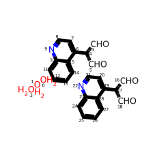 O.O.O.O=CC(C=O)c1ccnc2ccccc12.O=CC(C=O)c1ccnc2ccccc12